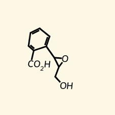 O=C(O)c1ccccc1C1OC1CO